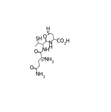 CC(S)C(NC(=O)[C@@H](N)CCC(N)=O)C(=O)NC(CS)C(=O)O